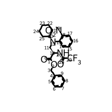 O=C(OCc1ccccc1)[C@@H](CN(c1ccccc1[N+](=O)[O-])C1CCCCC1)NC(=O)C(F)(F)F